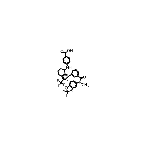 CN(C(=O)c1cccc(-n2nc(C(F)(F)F)c3c2C(Nc2ccc(C(=O)O)cc2)CCC3)c1)c1ccc2c(c1)OC(F)(F)O2